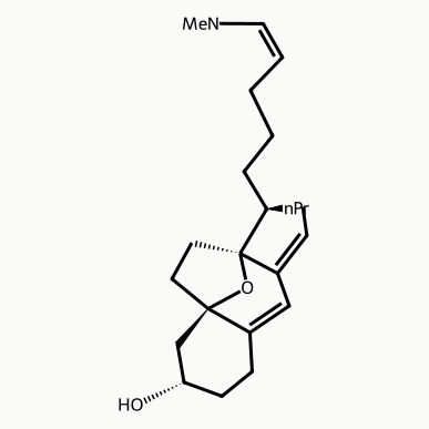 C/C=C1/C=C2CC[C@H](O)C[C@]23CC[C@@]1([C@H](CCC)CCC/C=C\NC)O3